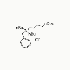 CCCCCCCCCCCCCC[N+](CCCC)(CCCC)Cc1ccccc1.[Cl-]